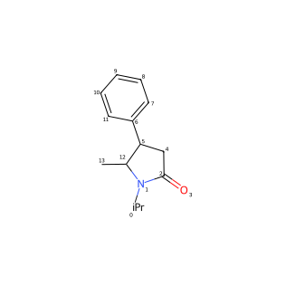 CC(C)N1C(=O)CC(c2ccccc2)C1C